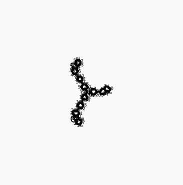 c1ccc2cc(-c3ccc(N(c4ccc(-c5ccc(-c6ccc7oc8ccccc8c7c6)cc5)cc4)c4ccc(-c5ccc(-c6ccc7sc8ccccc8c7c6)cc5)cc4)cc3)ccc2c1